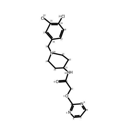 O=C(COc1ncccn1)NC1CCN(Cc2ccc(Cl)c(Cl)c2)CC1